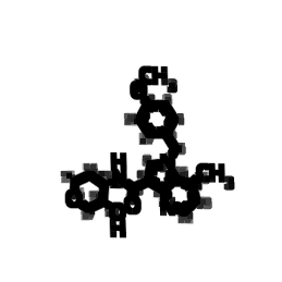 COc1ccc(Cn2cc(C(=O)N[C@H]3CCOC[C@@H]3O)c3nccc(C)c32)cc1